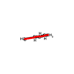 CCOCCNC(=O)COCCOCCNC(=O)COCCOCCNC(=O)CCCCCCCCCCCCCCCCC(=O)O